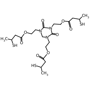 CC(S)CC(=O)OCCN1CN(CCOC(=O)CC(C)S)C(=O)N(CCOC(=O)CC(C)S)C1=O